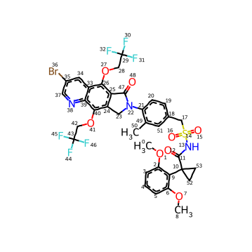 COc1cccc(OC)c1C1(C(=O)NS(=O)(=O)Cc2ccc(N3Cc4c(c(OCC(F)(F)F)c5cc(Br)cnc5c4OCC(F)(F)F)C3=O)c(C)c2)CC1